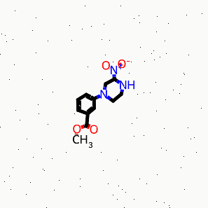 COC(=O)c1cccc(N2CCNC([N+](=O)[O-])C2)c1